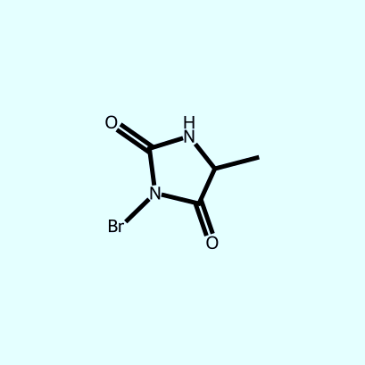 CC1NC(=O)N(Br)C1=O